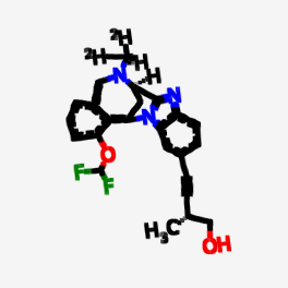 [2H]C([2H])([2H])N1C=c2cccc(OC(F)F)c2=C2C[C@@H]1c1nc3ccc(C#C[C@@H](C)CO)cc3n12